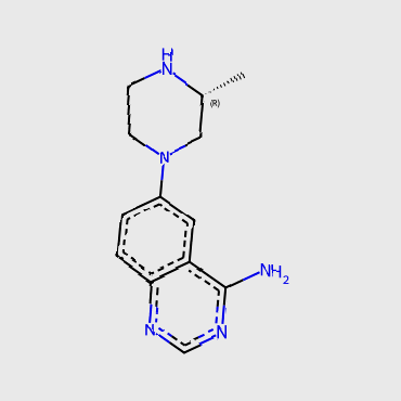 C[C@@H]1CN(c2ccc3ncnc(N)c3c2)CCN1